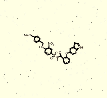 COc1ccc(CNc2ccc(S(=O)(=O)NC(=O)c3ccccc3Oc3cnc4[nH]ccc4c3)cc2[N+](=O)[O-])cc1